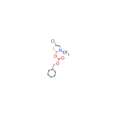 O=C(OCc1ccccc1)OC1SC(Cl)=CN1C(F)(F)F